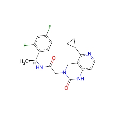 C[C@H](NC(=O)CN1Cc2c(ccnc2C2CC2)NC1=O)c1ccc(F)cc1F